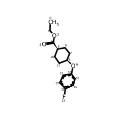 CCOC(=O)[C@H]1CC[C@@H](Oc2ccc(F)cc2)CC1